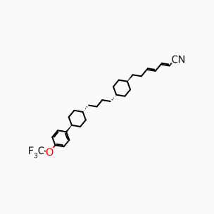 N#CC=CC=CCC[C@H]1CC[C@H](CCCC[C@H]2CC[C@H](c3ccc(OC(F)(F)F)cc3)CC2)CC1